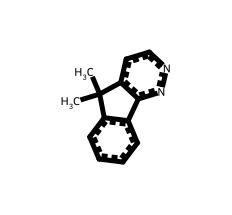 CC1(C)c2ccccc2-c2nnccc21